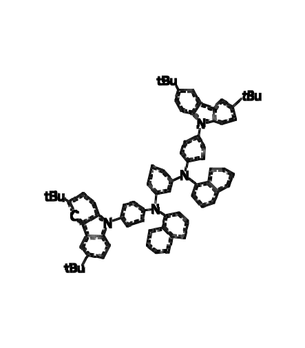 CC(C)(C)c1ccc2c(c1)c1cc(C(C)(C)C)ccc1n2-c1ccc(N(c2cccc(N(c3ccc(-n4c5ccc(C(C)(C)C)cc5c5cc(C(C)(C)C)ccc54)cc3)c3cccc4ccccc34)c2)c2cccc3ccccc23)cc1